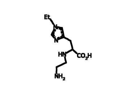 CCn1cnc(CC(NCCN)C(=O)O)c1